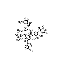 CO[C@@H]1[C@H](CS(=O)(=O)NC[C@H]2O[C@@H](n3cnc4c(=O)[nH]c(N)nc43)[C@H](O)[C@@H]2O)[C@@H](COP(=O)(O)OP(=O)(O)OP(=O)(O)OC[C@H]2O[C@@H](n3c[n+](C)c4c(=O)[nH]c(N)nc43)[C@H](O)[C@@H]2CC(=O)N(C)C)O[C@H]1n1cnc2c(N)ncnc21